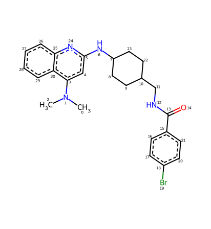 CN(C)c1cc(NC2CCC(CNC(=O)c3ccc(Br)cc3)CC2)nc2ccccc12